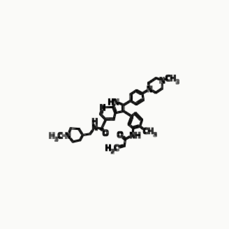 C=CC(=O)Nc1cc(-c2c(-c3ccc(N4CCN(C)CC4)cc3)[nH]c3ncc(C(=O)NCC4CCN(C)CC4)cc23)ccc1C